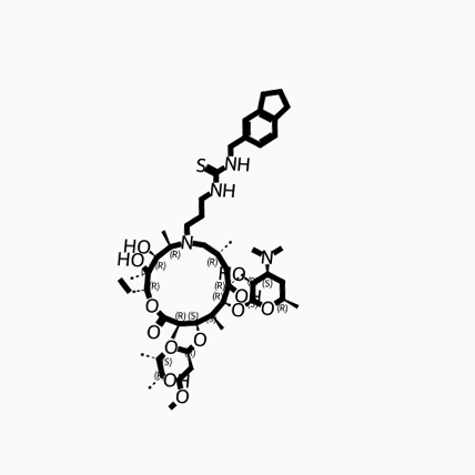 CC[C@H]1OC(=O)[C@H](C)[C@@H](O[C@@H](CCOC)O[C@@H](C)[C@@H](C)O)[C@H](C)[C@@H](O[C@@H]2O[C@H](C)C[C@H](N(C)C)[C@H]2O)[C@](C)(O)C[C@@H](C)CN(CCCNC(=S)NCc2ccc3c(c2)CCC3)[C@H](C)[C@@H](O)[C@]1(C)O